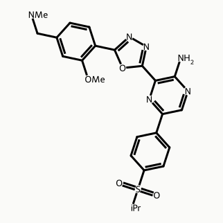 CNCc1ccc(-c2nnc(-c3nc(-c4ccc(S(=O)(=O)C(C)C)cc4)cnc3N)o2)c(OC)c1